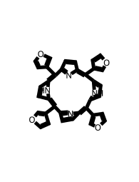 C1=Cc2nc1c(-c1ccoc1)c1ccc([nH]1)c(-c1ccoc1)c1nc(c(-c3ccoc3)c3ccc([nH]3)c2-c2ccoc2)C=C1